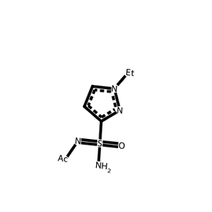 CCn1ccc(S(N)(=O)=NC(C)=O)n1